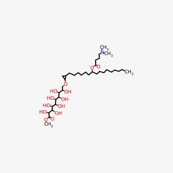 CCCCCCCCCC(CCCCCCC1CC1OCC(O)C(O)C(O)C(O)C(O)C(O)C(O)C(O)C(=O)OC)OC(=O)CCCN(C)C